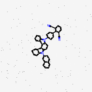 N#Cc1cccc(C#N)c1-c1ccc(-n2c3ccccc3c3c4c5ccccc5n(-c5ccc6ccccc6c5)c4ccc32)cc1